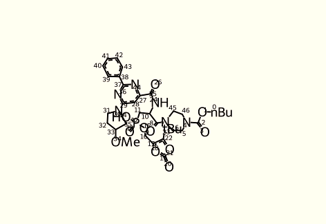 CCCCOC(=O)N1CCN(C(=O)C(CP(=O)(O)OCc2oc(=O)oc2C(C)(C)C)NC(=O)c2cc(N3CCC(OC)C3)nc(-c3ccccc3)n2)CC1